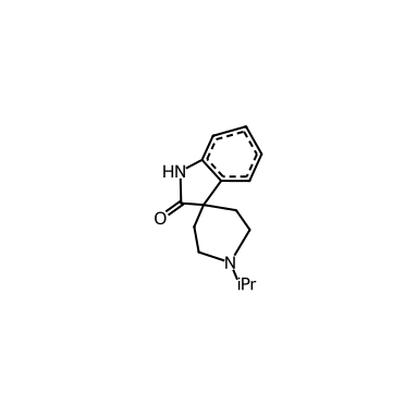 CC(C)N1CCC2(CC1)C(=O)Nc1ccccc12